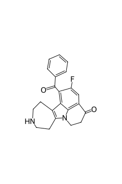 O=C(c1ccccc1)c1c(F)cc2c3c1c1c(n3CCC2=O)CCNCC1